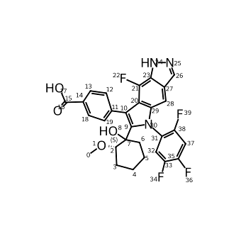 CO[C@H]1CCCCC1(O)c1c(-c2ccc(C(=O)O)cc2)c2c(F)c3[nH]ncc3cc2n1-c1cc(F)c(F)cc1F